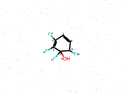 OC1(F)C(F)=C(F)C=CC1F